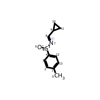 Cc1ccc([S@@+]([O-])/N=C/C2CC2)cc1